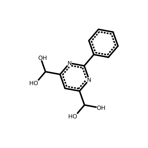 OC(O)c1cc(C(O)O)nc(-c2ccccc2)n1